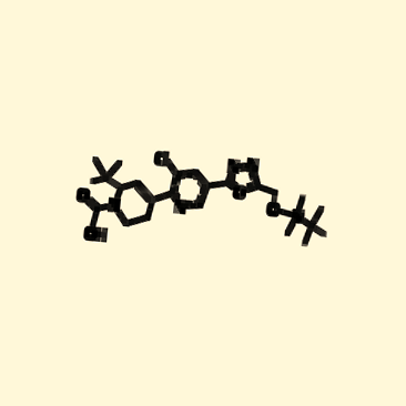 CC(C)(C)C1C=C(c2ncc(-c3nnc(CO[Si](C)(C)C(C)(C)C)o3)cc2Cl)CCN1C(=O)O